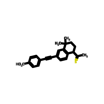 CC(=S)C1CCC(C)(C)c2cc(C#Cc3ccc(C(=O)O)cc3)ccc21